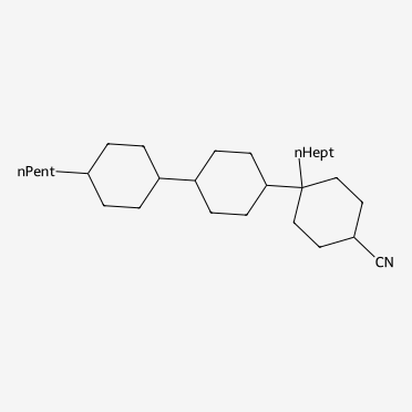 CCCCCCCC1(C2CCC(C3CCC(CCCCC)CC3)CC2)CCC(C#N)CC1